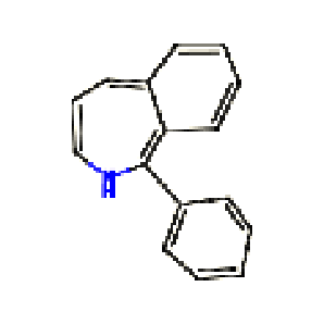 C1=CNC(c2ccccc2)=c2ccccc2=C1